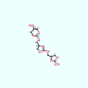 OB1OCC(COB2OCC(COB3OCC(O)CO3)O2)O1